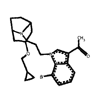 CC(=O)c1cn(CCCN2C3CCC2CC(OCC2CC2)C3)c2c(Br)cccc12